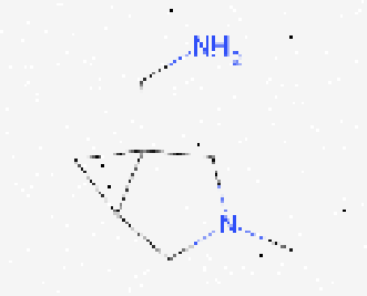 CN1CC2CC2(CN)C1